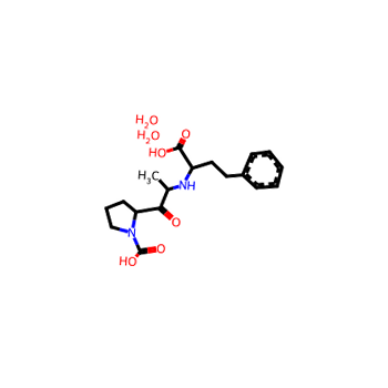 CC(NC(CCc1ccccc1)C(=O)O)C(=O)C1CCCN1C(=O)O.O.O